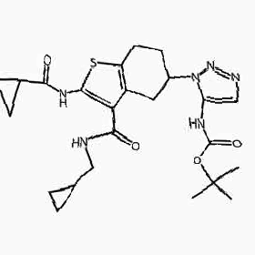 CC(C)(C)OC(=O)Nc1cnnn1C1CCc2sc(NC(=O)C3CC3)c(C(=O)NCC3CC3)c2C1